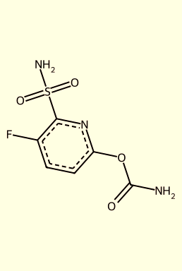 NC(=O)Oc1ccc(F)c(S(N)(=O)=O)n1